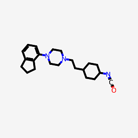 O=C=NC1CCC(CCN2CCN(c3cccc4c3CCC4)CC2)CC1